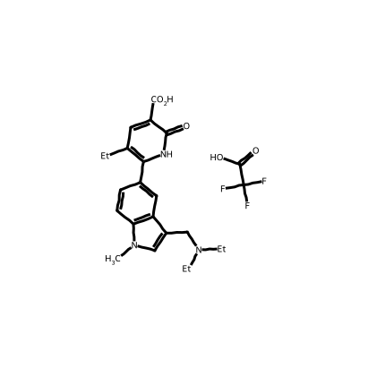 CCc1cc(C(=O)O)c(=O)[nH]c1-c1ccc2c(c1)c(CN(CC)CC)cn2C.O=C(O)C(F)(F)F